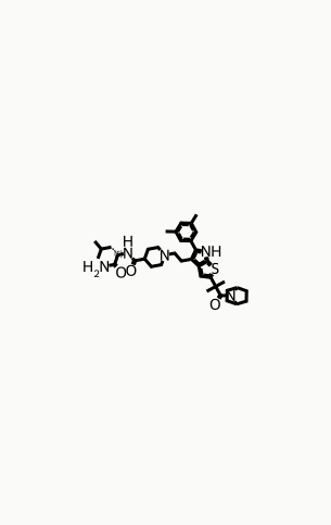 Cc1cc(C)cc(-c2[nH]c3sc(C(C)(C)C(=O)N4C5CCC4CC5)cc3c2CCN2CCC(C(=O)N[C@@H](CC(C)C)C(N)=O)CC2)c1